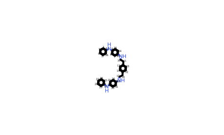 c1ccc(Nc2ccc(NCCc3ccc(CCNc4ccc(Nc5ccccc5)cc4)cc3)cc2)cc1